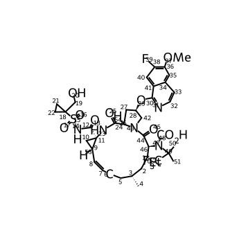 CC[C@@H]1C[C@H](C)CC/C=C\[C@@H]2C[C@@]2(C(=O)NS(=O)(=O)C2(CO)CC2)NC(=O)[C@@H]2C[C@@H](Oc3nccc4cc(OC)c(F)cc34)CN2C(=O)[C@H]1N(C(=O)O)C(C)(C)C(F)(F)F